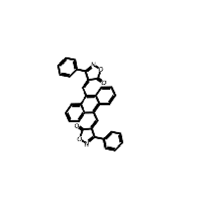 O=C1ON=C(c2ccccc2)C1=Cc1c2ccccc2c(C=C2C(=O)ON=C2c2ccccc2)c2ccccc12